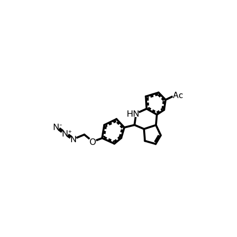 CC(=O)c1ccc2c(c1)C1C=CCC1C(c1ccc(OCN=[N+]=[N-])cc1)N2